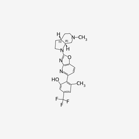 Cc1cc(C(F)(F)F)cc(O)c1-c1ccc2oc(N3CC[C@@H]4CCN(C)C[C@@H]43)nc2n1